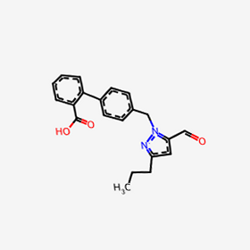 CCCc1cc(C=O)n(Cc2ccc(-c3ccccc3C(=O)O)cc2)n1